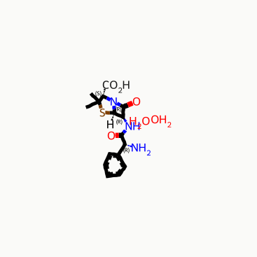 CC1(C)S[C@@H]2[C@H](NC(=O)[C@H](N)c3ccccc3)C(=O)N2[C@H]1C(=O)O.O.O